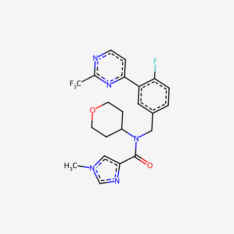 Cn1cnc(C(=O)N(Cc2ccc(F)c(-c3ccnc(C(F)(F)F)n3)c2)C2CCOCC2)c1